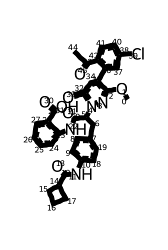 COc1nn(C(Cc2ccc(NC(=O)C3CCC3)cc2)C(=O)Nc2ccccc2C(=O)O)c(=O)cc1-c1cc(Cl)ccc1C(C)=O